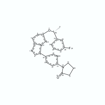 C[C@@H](Oc1ccc2ncc(-c3ccc(N4CCCC4=O)nc3)n2n1)c1cccc(F)c1